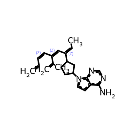 C=C\C=C/C(=C/C(=C\C)C1CCC(n2ccc3c(N)ncnc32)C1)C(=C)C